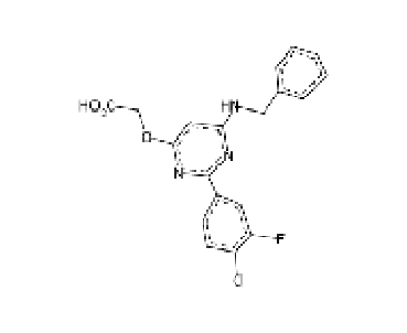 O=C(O)COc1cc(NCc2ccccc2)nc(-c2ccc(Cl)c(F)c2)n1